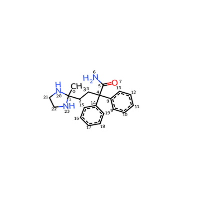 CC1(CCC(C(N)=O)(c2ccccc2)c2ccccc2)NCCN1